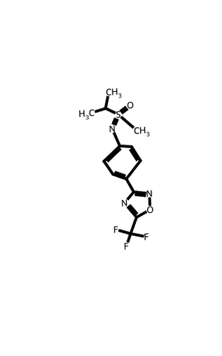 CC(C)S(C)(=O)=Nc1ccc(-c2noc(C(F)(F)F)n2)cc1